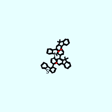 CC1(C)c2ccccc2-c2ccc(-c3ccccc3N(c3ccc(-c4cccc5sc6ccccc6c45)cc3)c3ccccc3-c3cccc4c3C(C)(C)c3ccccc3-4)cc21